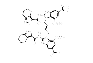 COc1cc(C(N)=O)cc2nc(NC(=O)c3onc4c3CCCC4)n(C/C=C/Cn3c(NC(=O)c4onc5c4CCCC5)nc4cc(C(N)=O)cc(OC)c43)c12